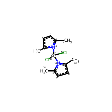 Cc1ccc(C)[n]1[Zr]([Cl])([Cl])[n]1c(C)ccc1C